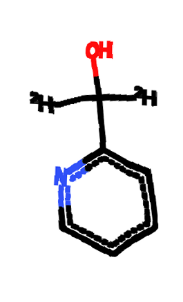 [2H]C([2H])(O)c1ccccn1